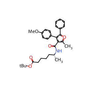 COc1ccc(-c2c(-c3ccccc3)oc(C)c2C(=O)N[C@H](C)CCCCC(=O)OC(C)(C)C)cc1